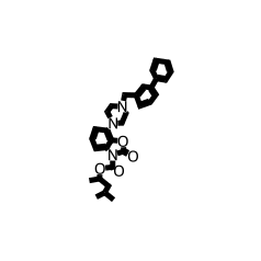 CC(C)CC(C)OC(=O)n1c(=O)oc2c(N3CCN(Cc4cccc(-c5ccccc5)c4)CC3)cccc21